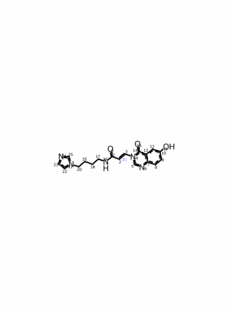 O=C(/C=C/n1cnc2ccc(O)cc2c1=O)NCCCCn1ccnc1